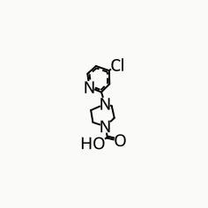 O=C(O)N1CCN(c2cc(Cl)ccn2)CC1